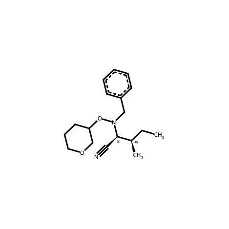 CC[C@@H](C)[C@@H](C#N)N(Cc1ccccc1)OC1CCCOC1